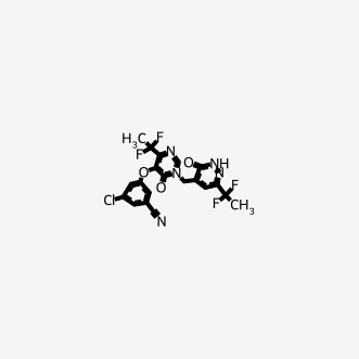 CC(F)(F)c1cc(Cn2cnc(C(C)(F)F)c(Oc3cc(Cl)cc(C#N)c3)c2=O)c(=O)[nH]n1